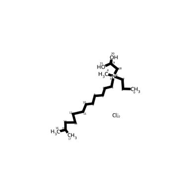 CCC[N+](C)(CCCCCCCCCCC(C)C)CC(O)O.[Cl-]